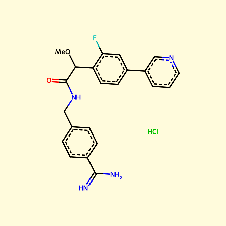 COC(C(=O)NCc1ccc(C(=N)N)cc1)c1ccc(-c2cccnc2)cc1F.Cl